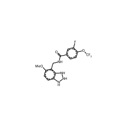 COc1ccc2c(c1CNC(=O)c1ccc(OC(F)(F)F)c(F)c1)NNN2